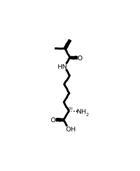 C=C(C)C(=O)NCCCC[C@H](N)C(=O)O